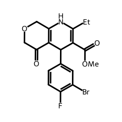 CCC1=C(C(=O)OC)C(c2ccc(F)c(Br)c2)C2=C(COCC2=O)N1